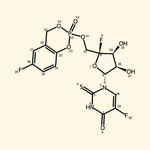 O=c1[nH]c(=S)n([C@@H]2O[C@](F)(COP3(=O)OCc4cc(F)ccc4O3)[C@@H](O)[C@H]2O)cc1F